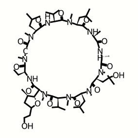 CC[C@@H]1NC(=O)[C@H]([C@@H]2OC(CCO)C[C@H]2C)N(C)C(=O)[C@H](C(C)C)N(C)C(=O)[C@H](CC(C)C)N(C)C(=O)[C@H](CC(C)(C)O)N(C)C(=O)[C@@H](C)NC(=O)[C@H](C)NC(=O)[C@H](CC(C)C)N(C)C(=O)[C@H](C(C)C)NC(=O)[C@H](CC(C)C)N(C)C(=O)CN(C)C1=O